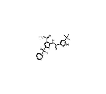 CC(C)(C)c1cc(C(=O)Nc2sc(S(=O)(=O)c3ccccc3)cc2C(N)=O)n[nH]1